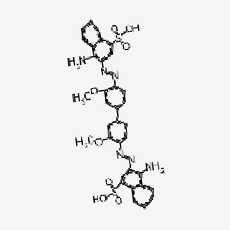 COc1cc(-c2ccc(N=Nc3cc(S(=O)(=O)O)c4ccccc4c3N)c(OC)c2)ccc1N=Nc1cc(S(=O)(=O)O)c2ccccc2c1N